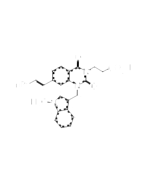 CCCC=Cc1ccc2c(=O)n(CCC(=O)O)c(=O)n(Cc3cn(C)c4ccccc34)c2c1